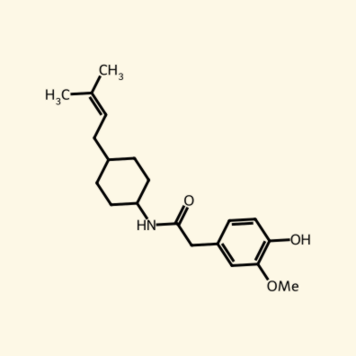 COc1cc(CC(=O)NC2CCC(CC=C(C)C)CC2)ccc1O